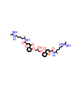 CC(=N)NCCCC[C@@H](C)NC(=O)c1cc(=O)c2c(OCC(O)COc3cccc4oc(C(=O)N[C@H](C)CCCCNC(C)=N)cc(=O)c34)cccc2o1